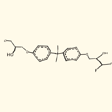 CC(C)(c1ccc(OCC(O)CCl)cc1)c1ccc(OCC(O)C(F)F)cc1